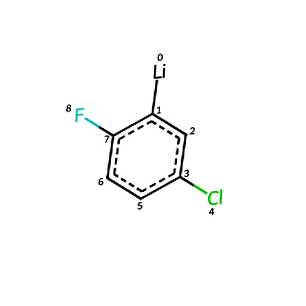 [Li][c]1cc(Cl)ccc1F